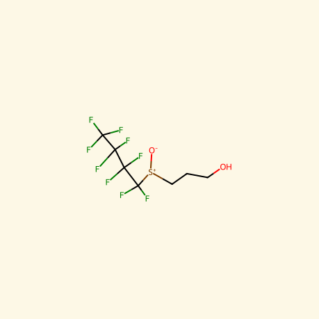 [O-][S+](CCCO)C(F)(F)C(F)(F)C(F)(F)C(F)(F)F